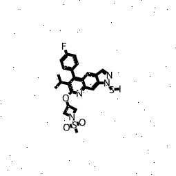 CC(C)c1c(OC2CN(S(C)(=O)=O)C2)nc2cc3c(cnn3SI)cc2c1-c1ccc(F)cc1